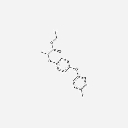 CCOC(=O)C(C)Oc1ccc(Oc2ccc(C)cn2)cc1